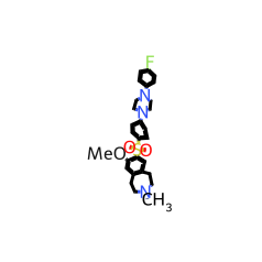 COc1cc2c(cc1S(=O)(=O)c1ccc(N3CCN(c4ccc(F)cc4)CC3)cc1)CCN(C)CC2